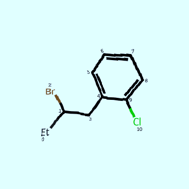 CCC(Br)Cc1ccccc1Cl